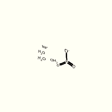 O.O.O.O=P(=O)[O-].[Na+]